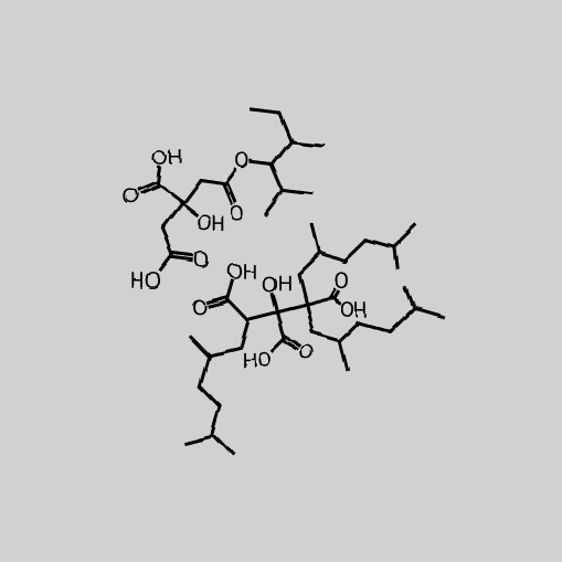 CC(C)CCC(C)CC(C(=O)O)C(O)(C(=O)O)C(CC(C)CCC(C)C)(CC(C)CCC(C)C)C(=O)O.CCC(C)C(OC(=O)CC(O)(CC(=O)O)C(=O)O)C(C)C